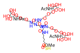 COP(=O)(S)OCCCCCCNC(=O)CN(CCCN(CC(=O)NCCOCCOCCOC1OC(CO)C(O)C(O)C1NC(C)=O)CC(=O)NCCOCCOCCOC1OC(CO)C(O)C(O)C1NC(C)=O)CC(=O)NCCOCCOCCOC1OC(CO)C(O)C(O)C1NC(C)=O